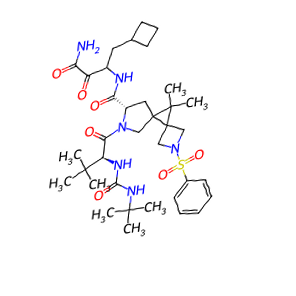 CC(C)(C)NC(=O)N[C@H](C(=O)N1CC2(C[C@H]1C(=O)NC(CC1CCC1)C(=O)C(N)=O)C(C)(C)C21CN(S(=O)(=O)c2ccccc2)C1)C(C)(C)C